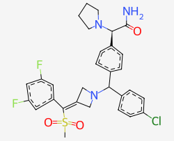 CS(=O)(=O)C(=C1CN(C(c2ccc(Cl)cc2)c2ccc([C@H](C(N)=O)N3CCCC3)cc2)C1)c1cc(F)cc(F)c1